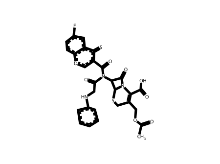 CC(=O)OCC1=C(C(=O)O)N2C(=O)C(N(C(=O)CNc3ccccc3)C(=O)c3coc4ccc(F)cc4c3=S)C2SC1